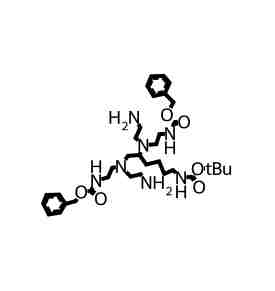 CC(C)(C)OC(=O)NCCCCC(CN(CCN)CCNC(=O)OCc1ccccc1)N(CCN)CCNC(=O)OCc1ccccc1